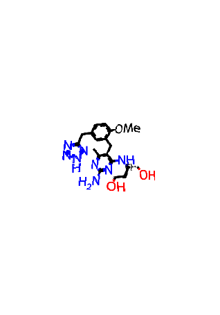 COc1ccc(Cc2nn[nH]n2)cc1Cc1c(C)nc(N)nc1N[C@H](CO)CCO